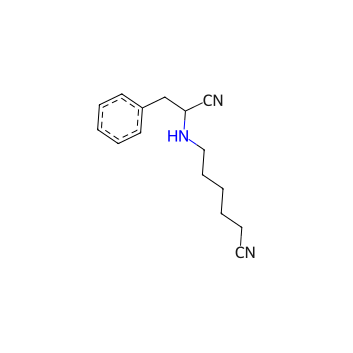 N#CCCCCCNC(C#N)Cc1ccccc1